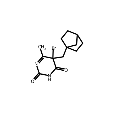 CC1=NC(=O)NC(=O)C1(Br)CC12CCC(CC1)C2